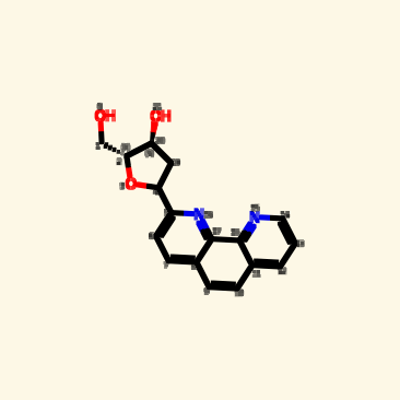 OC[C@H]1OC(c2ccc3ccc4cccnc4c3n2)C[C@@H]1O